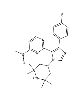 C[S+]([O-])c1ccnc(-c2c(-c3ccc(F)cc3)ncn2C2CC(C)(C)NC(C)(C)C2)n1